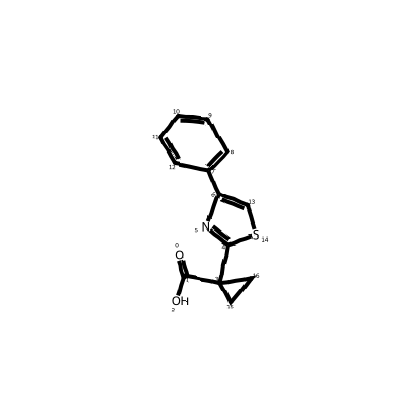 O=C(O)C1(c2nc(-c3ccccc3)cs2)CC1